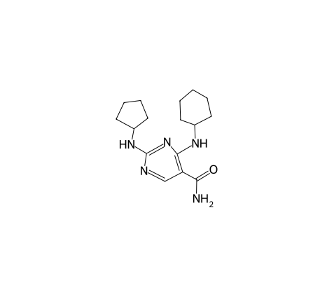 NC(=O)c1cnc(NC2CCCC2)nc1NC1CCCCC1